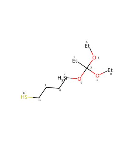 CCOC(CC)(OCC)O[SiH2]CCCS